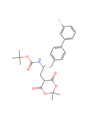 CC(C)(C)OC(=O)N[C@H](Cc1ccc(-c2cccc(F)c2)cc1)CC1C(=O)OC(C)(C)OC1=O